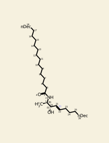 [CH2][C@@H](NC(=O)CCCCCCCCCCCCCCCCCCCCCCC)[C@@H](O)/C=C/CCCCCCCCCCCCC